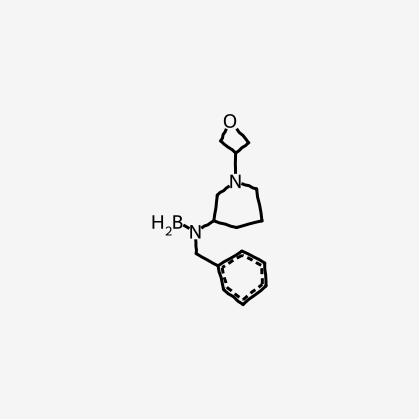 BN(Cc1ccccc1)C1CCCN(C2COC2)C1